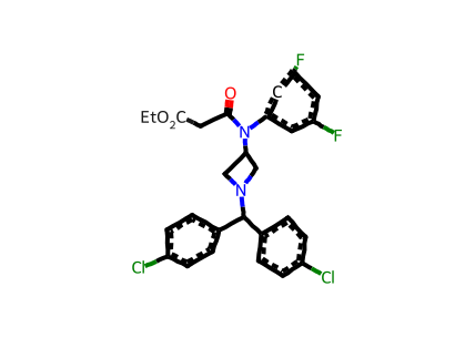 CCOC(=O)CC(=O)N(c1cc(F)cc(F)c1)C1CN(C(c2ccc(Cl)cc2)c2ccc(Cl)cc2)C1